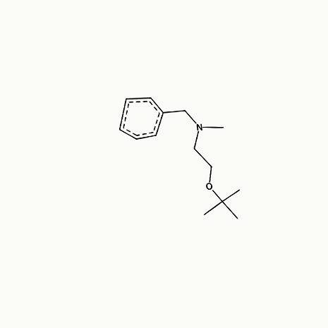 CN(CCOC(C)(C)C)Cc1ccccc1